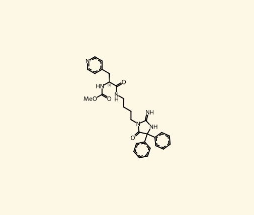 COC(=O)N[C@@H](Cc1ccncc1)C(=O)NCCCCN1C(=N)NC(c2ccccc2)(c2ccccc2)C1=O